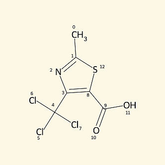 Cc1nc(C(Cl)(Cl)Cl)c(C(=O)O)s1